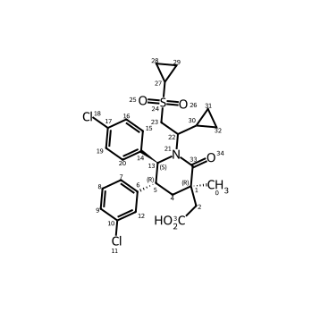 C[C@]1(CC(=O)O)C[C@H](c2cccc(Cl)c2)[C@@H](c2ccc(Cl)cc2)N(C(CS(=O)(=O)C2CC2)C2CC2)C1=O